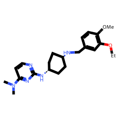 CCOc1cc(CN[C@H]2CC[C@@H](Nc3nccc(N(C)C)n3)CC2)ccc1OC